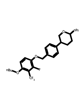 CCCCOc1ccc(OCc2ccc(C3CCC(CCC)OC3)cc2)c(F)c1C(F)(F)F